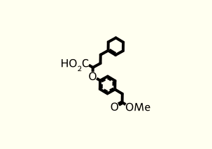 COC(=O)Cc1ccc(OC(CCC2=CCCCC2)C(=O)O)cc1